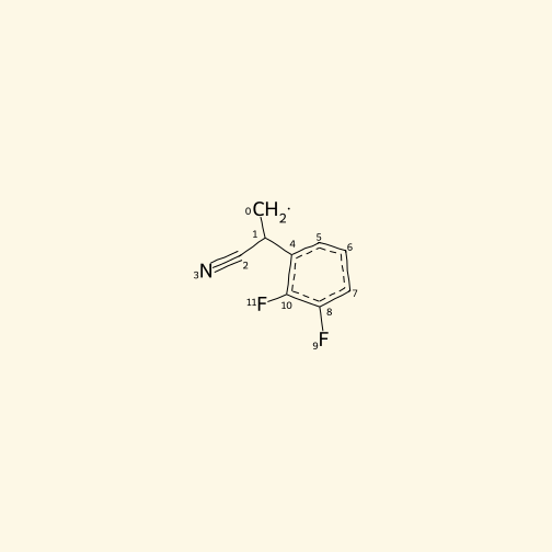 [CH2]C(C#N)c1cccc(F)c1F